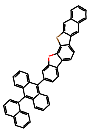 c1ccc2cc3c(cc2c1)sc1c3ccc2c3ccc(-c4c5ccccc5c(-c5cccc6ccccc56)c5ccccc45)cc3oc21